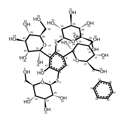 OC[C@H]1O[C@@H](Sc2cc([C@]3(S)O[C@H](CO)[C@@H](O)[C@H](O)[C@H]3O)c(S[C@@H]3O[C@H](CO)[C@@H](O)[C@H](O)[C@H]3O)c([C@]3(S)O[C@H](CO)[C@@H](O)[C@H](O)[C@H]3O)c2O)[C@H](O)[C@@H](O)[C@@H]1O.[c]1cc[c]cc1